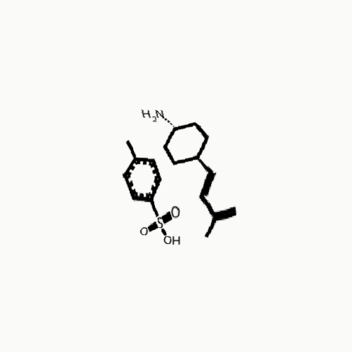 C=C(C)C=C[C@H]1CC[C@H](N)CC1.Cc1ccc(S(=O)(=O)O)cc1